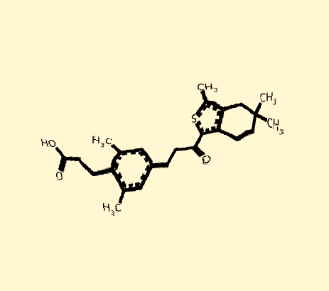 Cc1cc(CCC(=O)c2sc(C)c3c2CCC(C)(C)C3)cc(C)c1CCC(=O)O